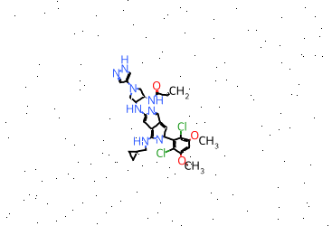 C=CC(=O)N[C@H]1CN(c2cn[nH]c2)C[C@H]1Nc1cc2c(NCC3CC3)nc(-c3c(Cl)c(OC)cc(OC)c3Cl)cc2cn1